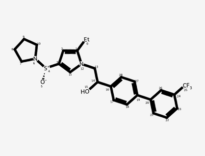 CCc1cc([S@+]([O-])N2CCCC2)cn1CC(O)c1ccc(-c2cccc(C(F)(F)F)c2)cc1